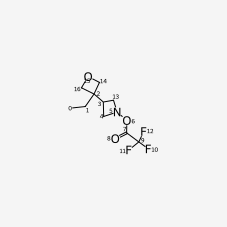 CCC1(C2CN(OC(=O)C(F)(F)F)C2)COC1